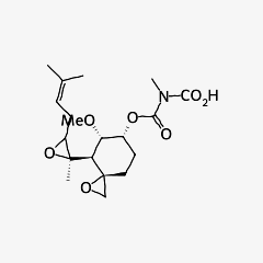 CO[C@@H]1[C@H](OC(=O)N(C)C(=O)O)CC[C@]2(CO2)[C@H]1[C@@]1(C)OC1CC=C(C)C